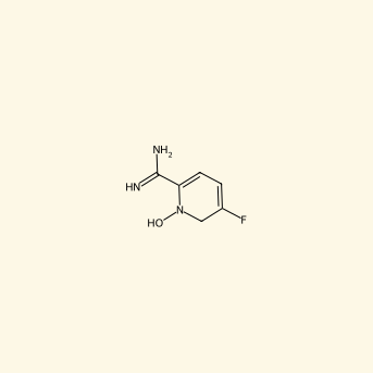 N=C(N)C1=CC=C(F)CN1O